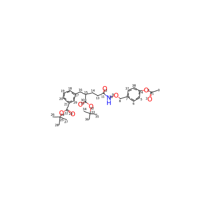 CC(=O)Oc1ccc(CONC(=O)CCC(Cc2cccc(C(=O)OC(C)(C)C)c2)C(=O)OC(C)(C)C)cc1